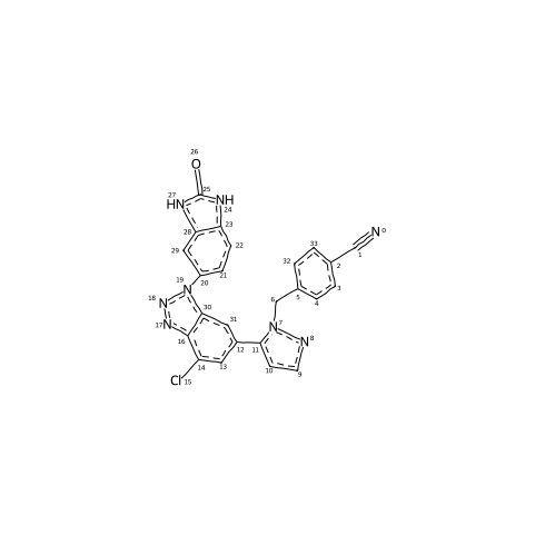 N#Cc1ccc(Cn2nccc2-c2cc(Cl)c3nnn(-c4ccc5[nH]c(=O)[nH]c5c4)c3c2)cc1